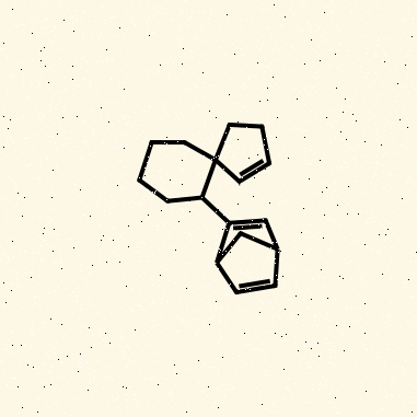 [C]1=CCCC12CCCCC2C1=CC2C=CC1C2